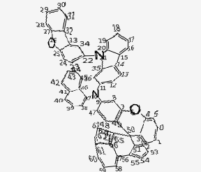 c1ccc2c(c1)Oc1cc(N(c3ccc4c5ccccc5n(-c5ccc6oc7ccccc7c6c5)c4c3)c3cccc4ccccc34)ccc1C21c2ccccc2-c2cccc3cccc1c23